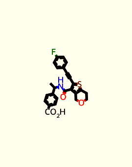 CC(NC(=O)c1c(C#Cc2ccc(F)cc2)sc2c1COCC2)c1ccc(C(=O)O)cc1